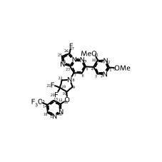 COc1ncc(-c2cc(N3CC(Oc4cc(C(F)(F)F)cnn4)C(F)(F)C3)c3ncc(F)n3n2)c(OC)n1